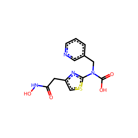 O=C(Cc1csc(N(Cc2cccnc2)C(=O)O)n1)NO